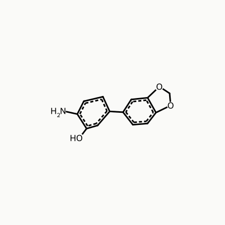 Nc1ccc(-c2ccc3c(c2)OCO3)cc1O